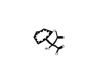 CC(C)(C)C(C(=O)Cl)(C(=O)Cl)c1ccccc1